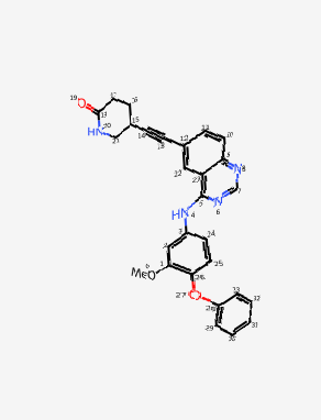 COc1cc(Nc2ncnc3ccc(C#CC4CCC(=O)NC4)cc23)ccc1Oc1ccccc1